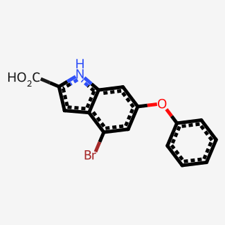 O=C(O)c1cc2c(Br)cc(Oc3ccccc3)cc2[nH]1